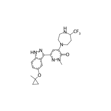 Cn1nc(-c2n[nH]c3ccc(OC4(C)CC4)cc23)cc(N2CCNC(C(F)(F)F)CC2)c1=O